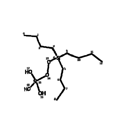 CCCC[Si](CCCC)(CCCC)OO[Si](O)(O)O